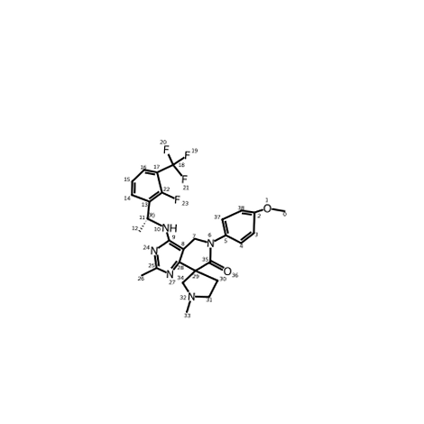 COc1ccc(N2Cc3c(N[C@H](C)c4cccc(C(F)(F)F)c4F)nc(C)nc3C3(CCN(C)C3)C2=O)cc1